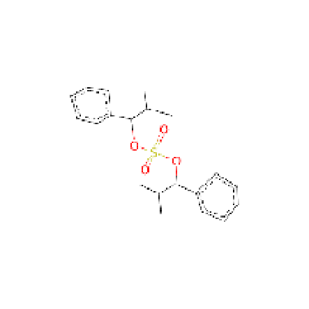 CC(C)C(OS(=O)(=O)OC(c1ccccc1)C(C)C)c1ccccc1